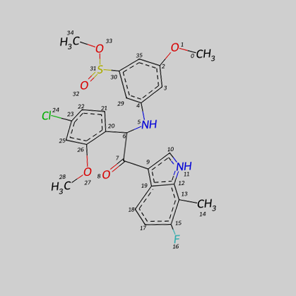 COc1cc(NC(C(=O)c2c[nH]c3c(C)c(F)ccc23)c2ccc(Cl)cc2OC)cc(S(=O)OC)c1